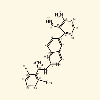 C[C@@H](Nc1ncc2cc(-c3ncnc(N)c3C=N)ccc2n1)c1c(F)cccc1F